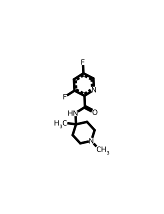 CN1CCC(C)(NC(=O)c2ncc(F)cc2F)CC1